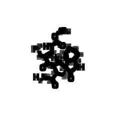 [2H]C1([2H])N(C(=O)C(=CNC(=O)OC(C)(C)C)CC(C)C)[C@H](C(N)=O)C[C@]12C(=O)Nc1ccccc12